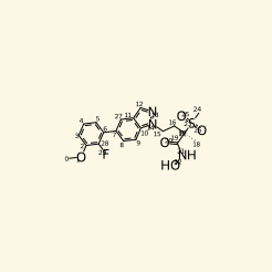 COc1cccc(-c2ccc3c(cnn3CC[C@](C)(C(=O)NO)S(C)(=O)=O)c2)c1F